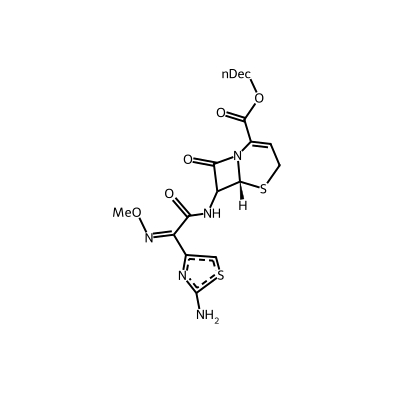 CCCCCCCCCCOC(=O)C1=CCS[C@@H]2C(NC(=O)/C(=N\OC)c3csc(N)n3)C(=O)N12